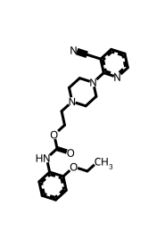 CCOc1ccccc1NC(=O)OCCN1CCN(c2ncccc2C#N)CC1